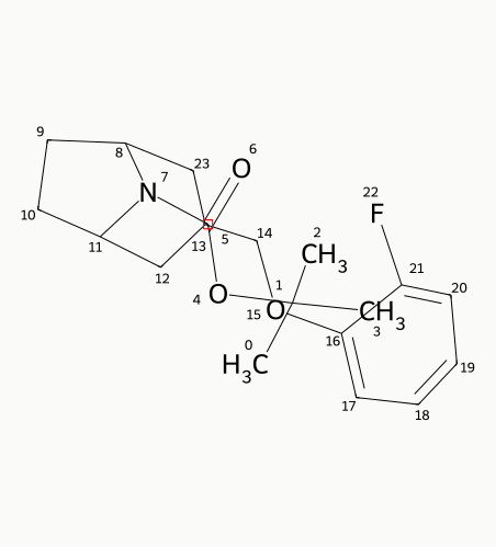 CC(C)(C)OC(=O)N1C2CCC1CC(COc1ccccc1F)C2